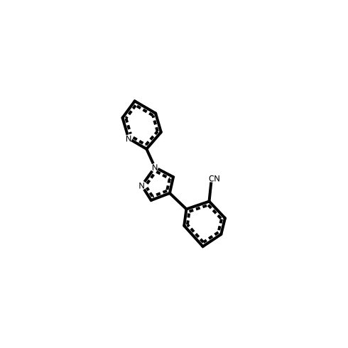 N#Cc1ccccc1-c1cnn(-c2ccccn2)c1